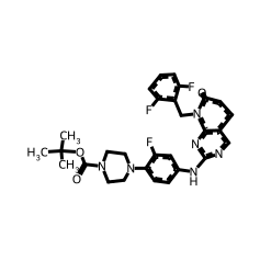 CC(C)(C)OC(=O)N1CCN(c2ccc(Nc3ncc4ccc(=O)n(Cc5c(F)cccc5F)c4n3)cc2F)CC1